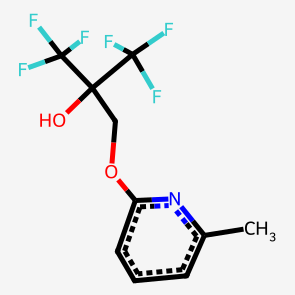 Cc1cccc(OCC(O)(C(F)(F)F)C(F)(F)F)n1